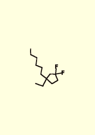 CCCCCCC1(CC)CCC(F)(F)C1